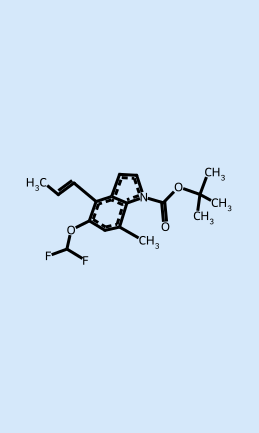 C/C=C/c1c(OC(F)F)cc(C)c2c1ccn2C(=O)OC(C)(C)C